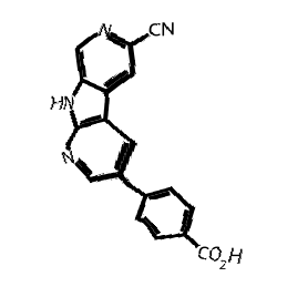 N#Cc1cc2c(cn1)[nH]c1ncc(-c3ccc(C(=O)O)cc3)cc12